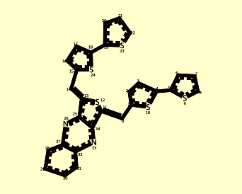 C(c1ccc(-c2cccs2)s1)=c1sc(=Cc2ccc(-c3cccs3)s2)c2nc3ccccc3nc12